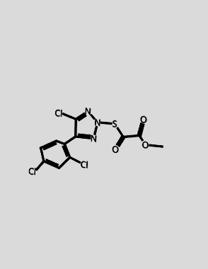 COC(=O)C(=O)Sn1nc(Cl)c(-c2ccc(Cl)cc2Cl)n1